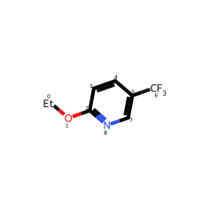 CCOc1ccc(C(F)(F)F)cn1